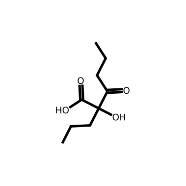 CCCC(=O)C(O)(CCC)C(=O)O